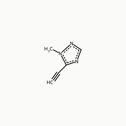 C#Cc1ncnn1C